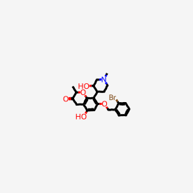 CC1Oc2c(c(O)cc(OCc3ccccc3Br)c2C2CCN(C)CC2O)CC1=O